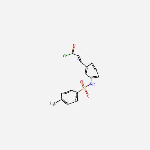 Cc1ccc(S(=O)(=O)Nc2cccc(/C=C/C(=O)Cl)c2)cc1